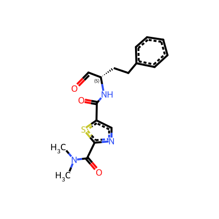 CN(C)C(=O)c1ncc(C(=O)N[C@H](C=O)CCc2ccccc2)s1